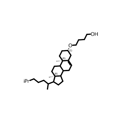 CC(C)CCCC(C)C1CCC2C3CC=C4C[C@@H](OCCCCO)CC[C@]4(C)C3CC[C@]12C